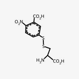 NC(CSSc1ccc([N+](=O)[O-])c(C(=O)O)c1)C(=O)O